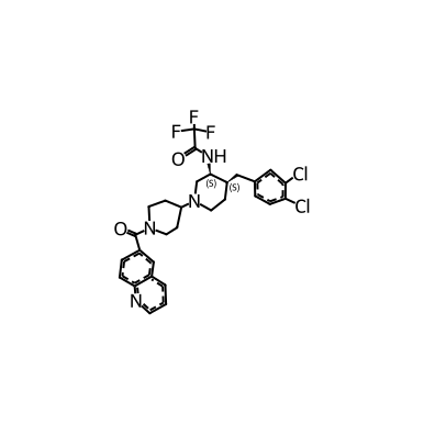 O=C(c1ccc2ncccc2c1)N1CCC(N2CC[C@H](Cc3ccc(Cl)c(Cl)c3)[C@H](NC(=O)C(F)(F)F)C2)CC1